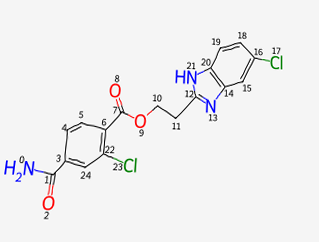 NC(=O)c1ccc(C(=O)OCCc2nc3cc(Cl)ccc3[nH]2)c(Cl)c1